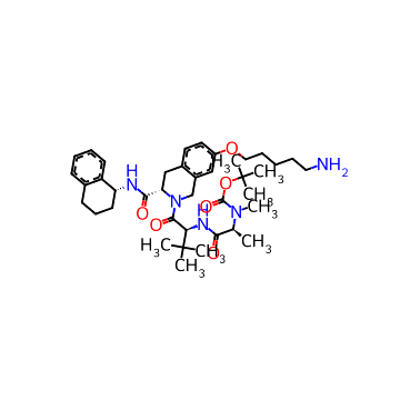 C[C@@H](C(=O)N[C@H](C(=O)N1Cc2cc(OCCCCCN)ccc2C[C@H]1C(=O)N[C@@H]1CCCc2ccccc21)C(C)(C)C)N(C)C(=O)OC(C)(C)C